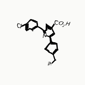 CC(C)Cc1ccc(-c2cc(C(=O)O)cc(-c3ccc(Cl)cc3)n2)cc1